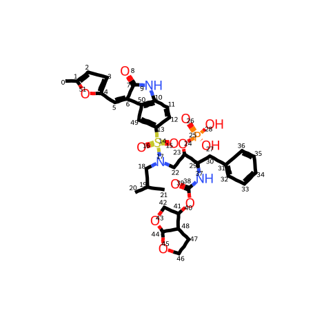 Cc1ccc(/C=C2\C(=O)Nc3ccc(S(=O)(=O)N(CC(C)C)CC(OP(=O)(O)O)C(Cc4ccccc4)NC(=O)OC4COC5OCCC45)cc32)o1